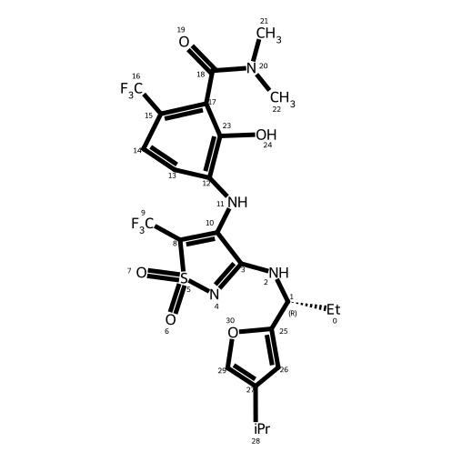 CC[C@@H](NC1=NS(=O)(=O)C(C(F)(F)F)=C1Nc1ccc(C(F)(F)F)c(C(=O)N(C)C)c1O)c1cc(C(C)C)co1